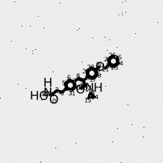 O=C(/C=C/c1ccc(C=C(C(=O)NC2CC2)c2ccc(OCc3ccccc3)cc2)cc1)NO